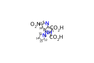 O=C(O)/C=C/C(=O)O.O=[N+]([O-])c1cncc(NN2CCCC2)c1